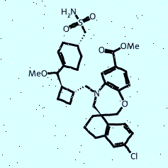 COC(=O)c1ccc2c(c1)N(C[C@@H]1CC[C@H]1C(OC)C1=CC[C@H](CS(N)(=O)=O)CC1)C[C@@]1(CCCc3cc(Cl)ccc31)CO2